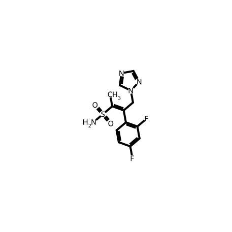 CC(=C(Cn1cncn1)c1ccc(F)cc1F)S(N)(=O)=O